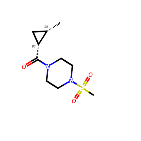 C[C@H]1C[C@H]1C(=O)N1CCN(S(C)(=O)=O)CC1